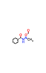 CN(NC(=O)c1ccccc1)OC=O